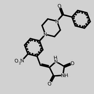 O=C1NC(=O)/C(=C/c2cc(N3CCN(C(=O)c4ccccc4)CC3)ccc2[N+](=O)[O-])N1